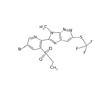 CCS(=O)(=O)c1cc(Br)cnc1-c1nc2cc(SC(F)(F)F)nnc2n1C